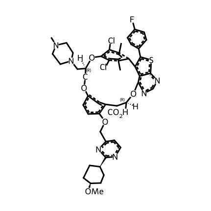 CO[C@H]1CC[C@@H](c2nccc(COc3ccc4cc3C[C@H](C(=O)O)Oc3ncnc5sc(-c6ccc(F)cc6)c(c35)-c3c(C)c(Cl)c(c(Cl)c3C)O[C@H](CN3CCN(C)CC3)CO4)n2)CC1